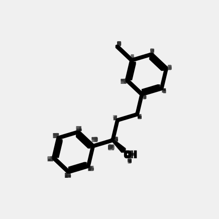 Cc1cccc(CC[C@@H](O)c2ccccc2)c1